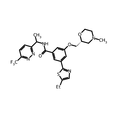 CCc1cnc(-c2cc(OC[C@H]3CN(C)CCO3)cc(C(=O)NC(C)c3ccc(C(F)(F)F)nn3)c2)s1